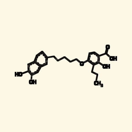 CCCc1c(OCCCCCc2ccc3cc(O)c(O)cc3c2)ccc(C(=O)O)c1O